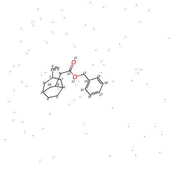 CCCC1CC2CCC(C1)C(CC(=O)OCc1ccccc1)C2